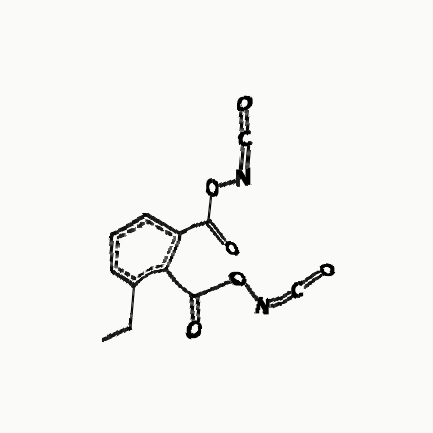 CCc1cccc(C(=O)ON=C=O)c1C(=O)ON=C=O